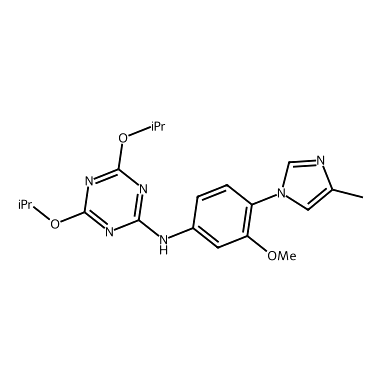 COc1cc(Nc2nc(OC(C)C)nc(OC(C)C)n2)ccc1-n1cnc(C)c1